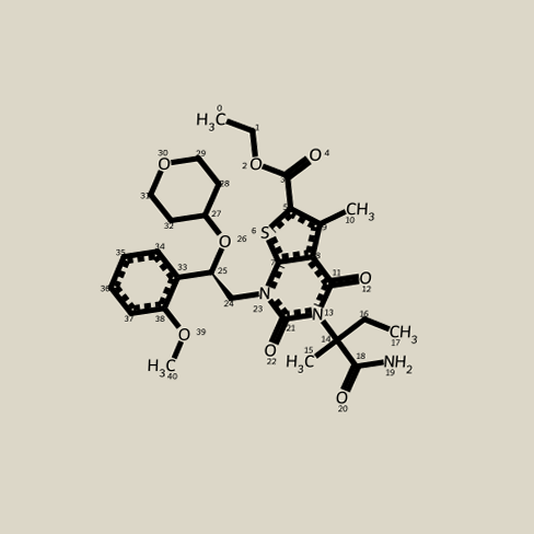 CCOC(=O)c1sc2c(c1C)c(=O)n(C(C)(CC)C(N)=O)c(=O)n2C[C@H](OC1CCOCC1)c1ccccc1OC